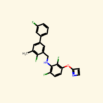 Cc1cc(-c2cccc(F)c2)cc(CNc2c(F)ccc(OC3=NC=C3)c2F)c1F